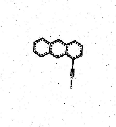 [O-][N+]#Cc1cccc2cc3ccccc3cc12